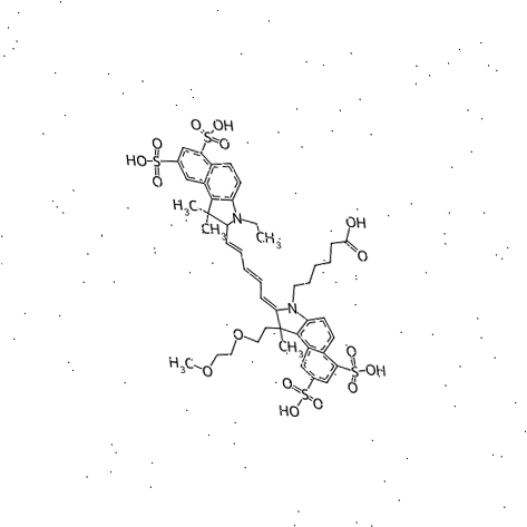 CCN1c2ccc3c(S(=O)(=O)O)cc(S(=O)(=O)O)cc3c2C(C)(C)C1C=CC=CC=C1N(CCCCCC(=O)O)c2ccc3c(S(=O)(=O)O)cc(S(=O)(=O)O)cc3c2C1(C)CCOCCOC